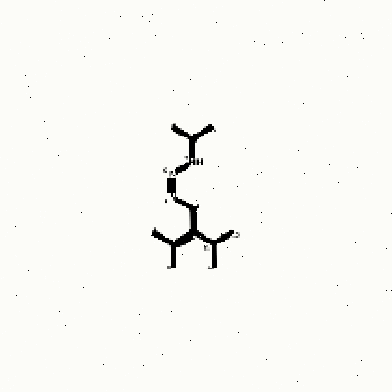 CC(C)=C(C/N=N\NC(C)C)C(C)C